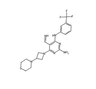 N=Cc1c(Nc2cccc(C(F)(F)F)c2)nc(N)nc1N1CC(N2CCSCC2)C1